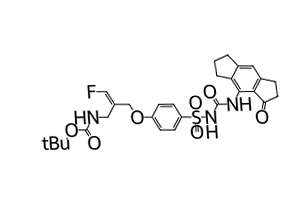 CC(C)(C)OC(=O)NC/C(=C\F)COc1ccc(S(=O)(=O)NC(=O)Nc2c3c(cc4c2C(=O)CC4)CCC3)cc1